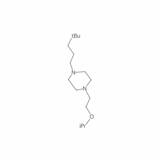 CC(C)OCCN1CCN(CCCC(C)(C)C)CC1